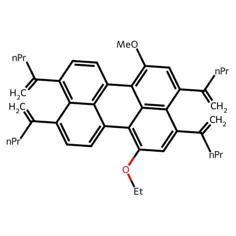 C=C(CCC)c1ccc2c3c(OC)cc(C(=C)CCC)c4c(C(=C)CCC)cc(OCC)c(c5ccc(C(=C)CCC)c1c25)c43